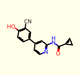 N#Cc1cc(-c2ccnc(NC(=O)C3=CC3)c2)ccc1O